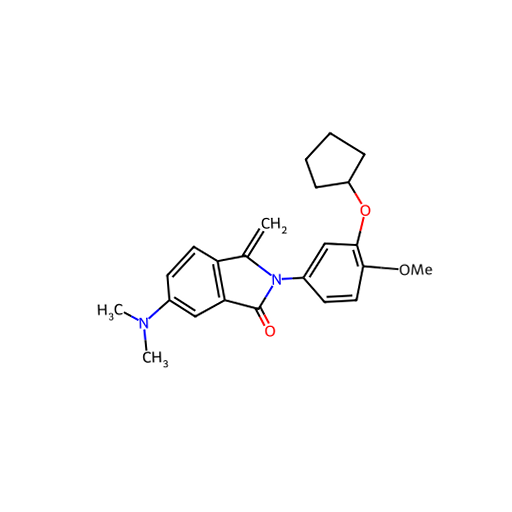 C=C1c2ccc(N(C)C)cc2C(=O)N1c1ccc(OC)c(OC2CCCC2)c1